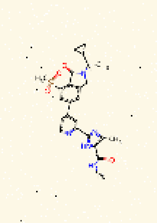 Cc1nc(-c2cc(-c3cc4c(c(S(C)(=O)=O)c3)C(=O)N([C@@H](C)C3CC3)C4)ccn2)[nH]c1C(=O)NC(C)C